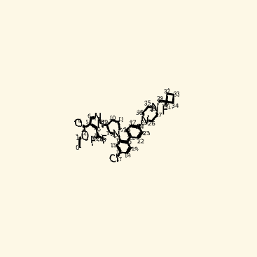 CCOC(=O)c1cnn(C2CCCN(c3cc(Cl)ccc3-c3ccc(N4CCN(CC5(F)CCC5)CC4)cc3)C2)c1C(F)F